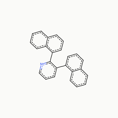 c1cnc(-c2cccc3ccccc23)c(-c2cccc3ccccc23)c1